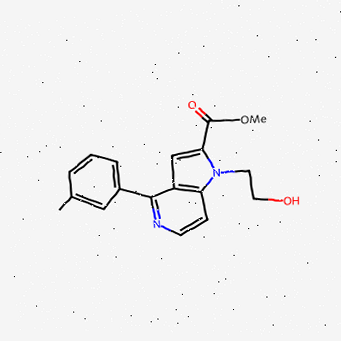 COC(=O)c1cc2c(-c3cccc(C)c3)nccc2n1CCO